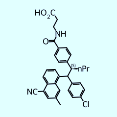 CCC[C@H](c1ccc(C(=O)NCCC(=O)O)cc1)C(c1ccc(Cl)cc1)c1cccc2c(C#N)cc(C)cc12